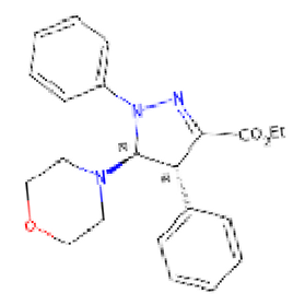 CCOC(=O)C1=NN(c2ccccc2)[C@H](N2CCOCC2)[C@H]1c1ccccc1